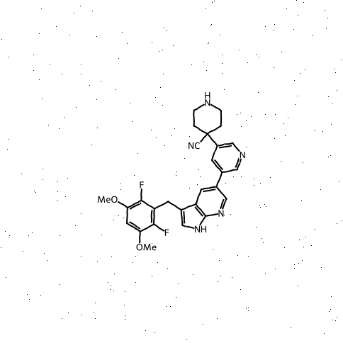 COc1cc(OC)c(F)c(Cc2c[nH]c3ncc(-c4cncc(C5(C#N)CCNCC5)c4)cc23)c1F